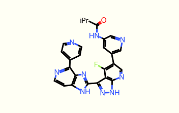 CC(C)C(=O)Nc1cncc(-c2cnc3[nH]nc(-c4nc5c(-c6ccncc6)nccc5[nH]4)c3c2F)c1